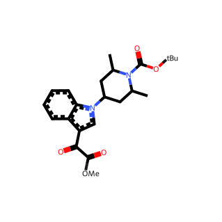 COC(=O)C(=O)c1cn(C2CC(C)N(C(=O)OC(C)(C)C)C(C)C2)c2ccccc12